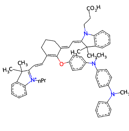 CCC[N+]1=C(/C=C/C2=C(Oc3ccc(N(C)c4ccc(N(C)c5ccccc5)cc4)cc3)C(=C/C=C3/N(CCC(=O)O)c4ccccc4C3(C)C)/CCC2)C(C)(C)c2ccccc21